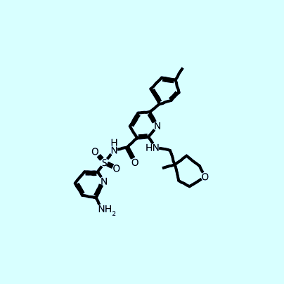 Cc1ccc(-c2ccc(C(=O)NS(=O)(=O)c3cccc(N)n3)c(NCC3(C)CCOCC3)n2)cc1